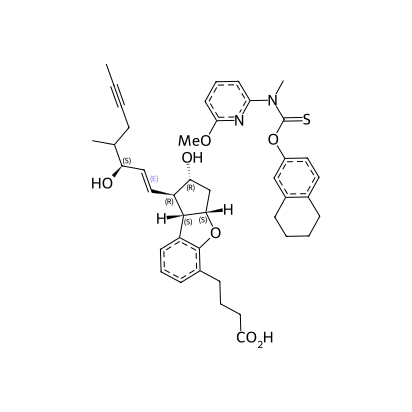 CC#CCC(C)[C@H](O)/C=C/[C@@H]1[C@H]2c3cccc(CCCC(=O)O)c3O[C@H]2C[C@H]1O.COc1cccc(N(C)C(=S)Oc2ccc3c(c2)CCCC3)n1